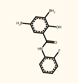 Bc1cc(B)c(O)c(C(=O)Nc2ccccc2F)c1